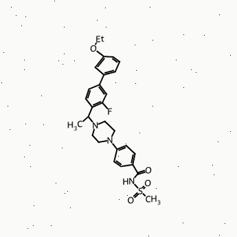 CCOc1cccc(-c2ccc(C(C)N3CCN(c4ccc(C(=O)NS(C)(=O)=O)cc4)CC3)c(F)c2)c1